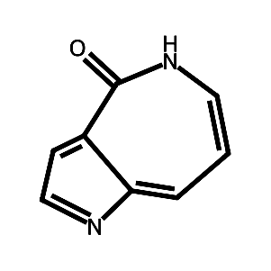 O=c1[nH]cccc2nccc1-2